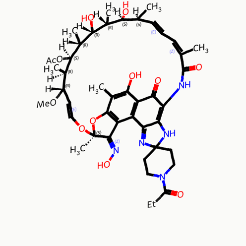 CCC(=O)N1CCC2(CC1)N=C1C(=C3NC(=O)/C(C)=C\C=C\[C@H](C)[C@H](O)[C@@H](C)[C@@H](O)[C@@H](C)[C@H](OC(C)=O)[C@H](C)[C@@H](OC)/C=C/O[C@@]4(C)Oc5c(C)c(O)c(c1c5/C4=N/O)C3=O)N2